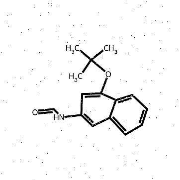 CC(C)(C)Oc1cc(N[C]=O)cc2ccccc12